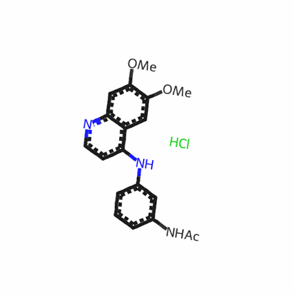 COc1cc2nccc(Nc3cccc(NC(C)=O)c3)c2cc1OC.Cl